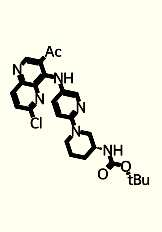 CC(=O)c1cnc2ccc(Cl)nc2c1Nc1ccc(N2CCC[C@@H](NC(=O)OC(C)(C)C)C2)nc1